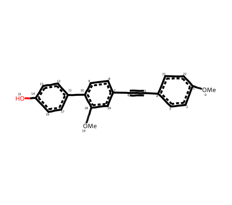 COc1ccc(C#Cc2ccc(-c3ccc(O)cc3)c(OC)c2)cc1